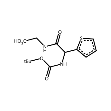 CC(C)(C)OC(=O)NC(C(=O)NCC(=O)O)c1cccs1